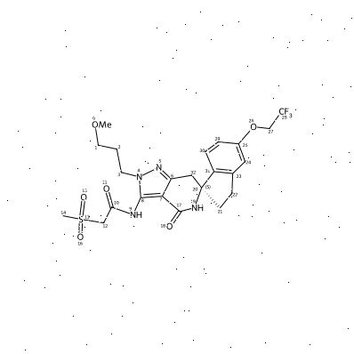 COCCCn1nc2c(c1NC(=O)CS(C)(=O)=O)C(=O)N[C@@]1(CCc3cc(OCC(F)(F)F)ccc31)C2